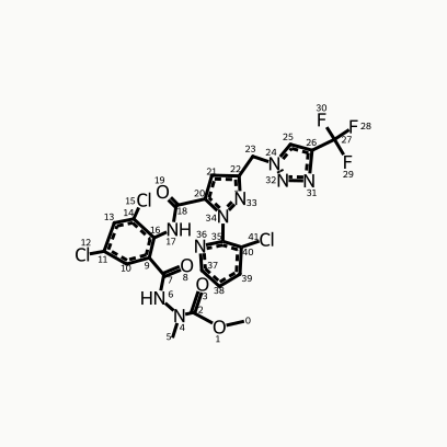 COC(=O)N(C)NC(=O)c1cc(Cl)cc(Cl)c1NC(=O)c1cc(Cn2cc(C(F)(F)F)nn2)nn1-c1ncccc1Cl